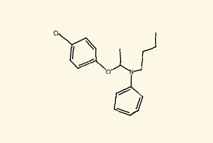 CCCCN(c1ccccc1)C(C)Oc1ccc(Cl)cc1